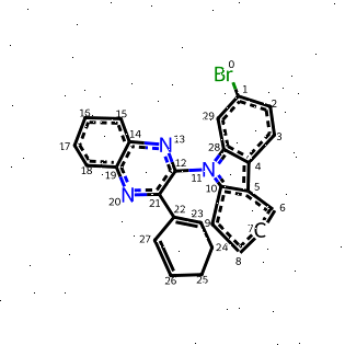 Brc1ccc2c3ccccc3n(-c3nc4ccccc4nc3C3=CCCC=C3)c2c1